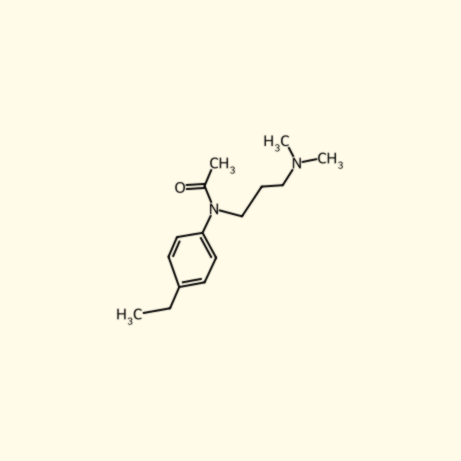 CCc1ccc(N(CCCN(C)C)C(C)=O)cc1